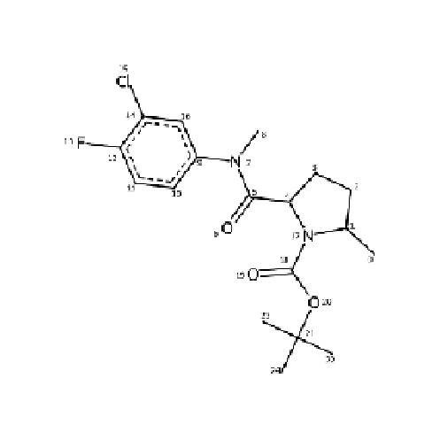 CC1CCC(C(=O)N(C)c2ccc(F)c(Cl)c2)N1C(=O)OC(C)(C)C